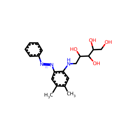 Cc1cc(/N=N/c2ccccc2)c(NCC(O)C(O)C(O)CO)cc1C